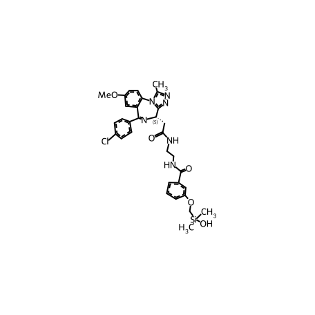 COc1ccc2c(c1)C(c1ccc(Cl)cc1)=N[C@@H](CC(=O)NCCNC(=O)c1cccc(OC[Si](C)(C)O)c1)c1nnc(C)n1-2